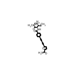 CO[C@H](C)[C@H](NC(=O)c1ccc(C#CC#Cc2ccc(C(N)=O)o2)cc1)C(=O)N(C)O